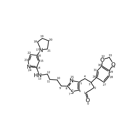 O=CCC(Cc1csc(CCCCNc2cc(N3CCCC3)ccn2)n1)c1ccc2c(c1)OCO2